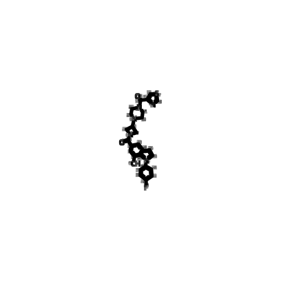 Cc1cc(C(=O)N2CC(N3CCN(C(=O)c4cscn4)CC3)C2)cc2ccn(-c3ccc(F)cc3)c12